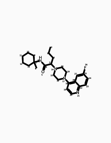 CCCC(C(=O)NC1(C)CCCCC1)N1CCN(c2ccnc3ccc(F)cc23)CC1